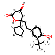 CC(C)(C)c1cc(CCC2(C3CCCC3)CC(=O)CC(=O)O2)ccc1O